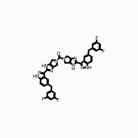 O=C(N1Cc2nc(-c3n[nH]c4ccc(Cc5cc(F)cc(F)c5)cc34)[nH]c2C1)N1Cc2nc(-c3n[nH]c4ccc(Cc5cc(F)cc(F)c5)cc34)[nH]c2C1